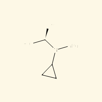 CCCCN(C1CC1)[C@H](C(C)C)C(F)(F)F